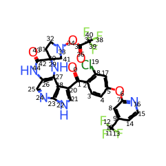 O=C(c1ccc(Oc2cc(C(F)(F)F)ccn2)cc1Cl)c1c[nH]c2ncc3c(c12)NC1(CCN(OC(=O)C(F)(F)F)C1)C(=O)N3